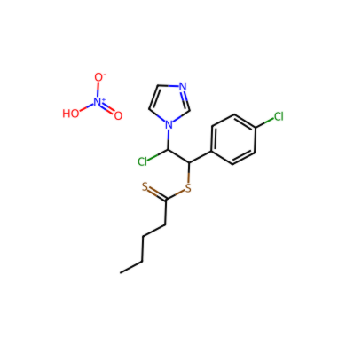 CCCCC(=S)SC(c1ccc(Cl)cc1)C(Cl)n1ccnc1.O=[N+]([O-])O